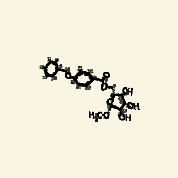 CO[C@@H]1O[C@H](COC(=O)c2ccc(OCc3ccccc3)cc2)[C@@H](O)[C@H](O)[C@H]1O